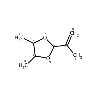 C=C(C)C1OC(C)C(C)O1